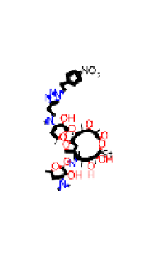 CC[C@H]1OC(=O)[C@H](C)C(=O)[C@H](C)[C@@H](O[C@@H]2O[C@H](C)C[C@H](N(C)CCc3cn(CCc4ccc([N+](=O)[O-])cc4)nn3)[C@H]2O)[C@@]2(C)C[C@@H](CO2)/C(=N\O[C@@H]2O[C@H](C)C[C@H](N(C)C)[C@H]2O)[C@H](C)[C@@H](O)[C@]1(C)O